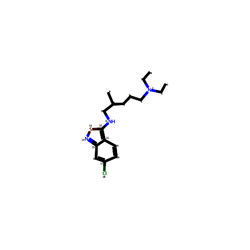 CCN(CC)CCCC(C)CNc1snc2cc(Cl)ccc12